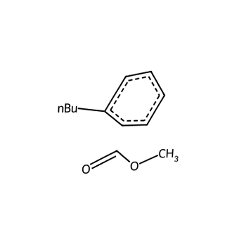 CCCCc1ccccc1.COC=O